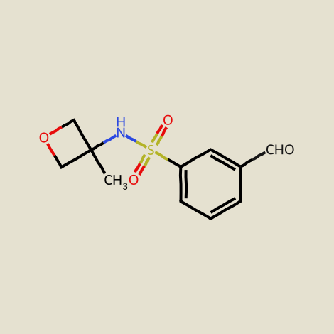 CC1(NS(=O)(=O)c2cccc(C=O)c2)COC1